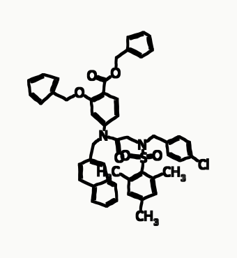 Cc1cc(C)c(S(=O)(=O)N(CC(=O)N(Cc2ccc3ccccc3c2)c2ccc(C(=O)OCc3ccccc3)c(OCc3ccccc3)c2)Cc2ccc(Cl)cc2)c(C)c1